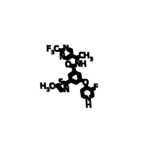 Cc1cnc(-c2cc(OC3CCNCC3F)cc(C(=O)NC(C)c3cnc(C(F)(F)F)nc3)c2)s1